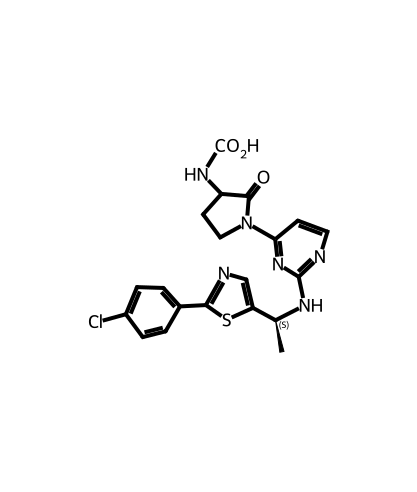 C[C@H](Nc1nccc(N2CCC(NC(=O)O)C2=O)n1)c1cnc(-c2ccc(Cl)cc2)s1